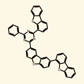 c1ccc(-c2nc(-c3ccc4oc5ccc(-c6cccc7c6oc6ccccc67)cc5c4c3)nc(-c3cccc4c3sc3ccccc34)n2)cc1